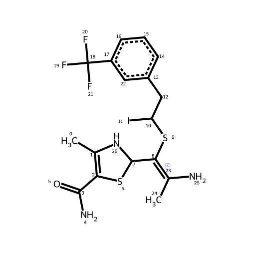 CC1=C(C(N)=O)SC(/C(SC(I)Cc2cccc(C(F)(F)F)c2)=C(\C)N)N1